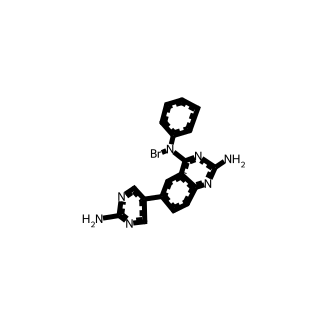 Nc1ncc(-c2ccc3nc(N)nc(N(Br)c4ccccc4)c3c2)cn1